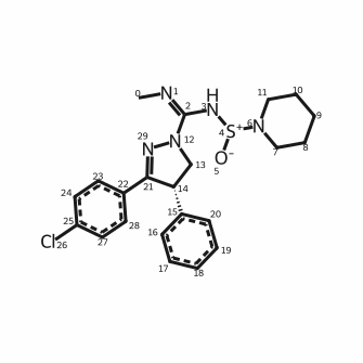 CN=C(N[S+]([O-])N1CCCCC1)N1C[C@H](c2ccccc2)C(c2ccc(Cl)cc2)=N1